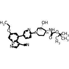 CCOc1cc(-c2ccc(N3CC[C@@H](NC(=O)OC(C)(C)C)[C@@H](O)C3)nc2)c2c(C#N)cnn2c1